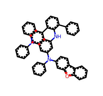 c1ccc(-c2cccc(-c3ccccc3)c2Nc2cc(N(c3ccccc3)c3ccccc3)cc(N(c3ccccc3)c3ccc4c(c3)oc3ccccc34)c2)cc1